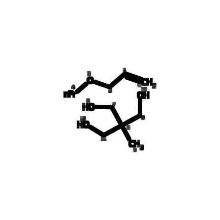 C=CCOCCC.CC(CO)(CO)CO